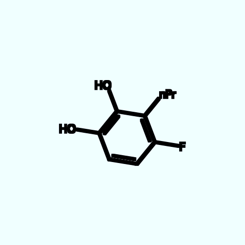 CCCc1c(F)ccc(O)c1O